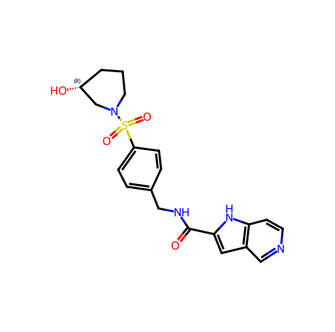 O=C(NCc1ccc(S(=O)(=O)N2CCC[C@@H](O)C2)cc1)c1cc2cnccc2[nH]1